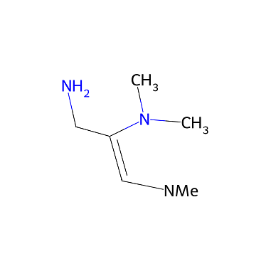 CN/C=C(/CN)N(C)C